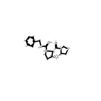 O=C(O)[C@@H]1CSCN1C(=O)[C@@H]1CCCN1C(=O)OCc1ccccc1